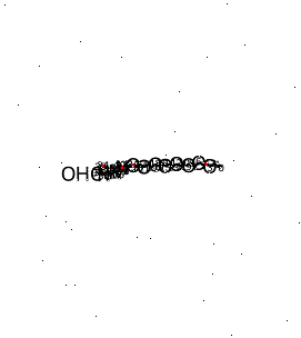 C#CCOCCOCCOCCOCCOCCOCCOCCOCCN1CCN(Cc2cccc(C=O)n2)CC1